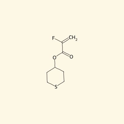 C=C(F)C(=O)OC1CCSCC1